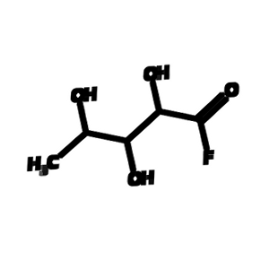 CC(O)C(O)C(O)C(=O)F